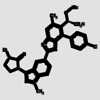 CCN1CCN(c2nn(C)c3ccc(-c4nc5cc(C)c([C@H](OC(C)(C)C)C(=O)O)c(-c6ccc(Cl)cc6)c5s4)cc23)C1=O